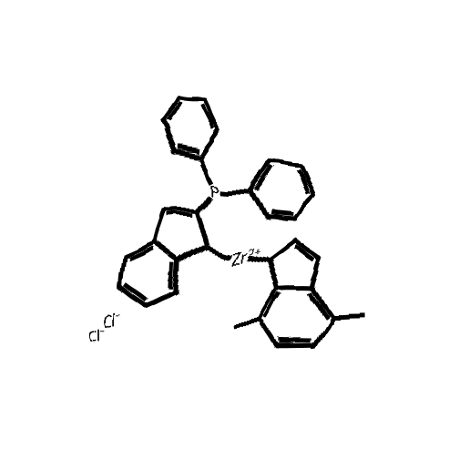 Cc1ccc(C)c2c1C=C[CH]2[Zr+2][CH]1C(P(c2ccccc2)c2ccccc2)=Cc2ccccc21.[Cl-].[Cl-]